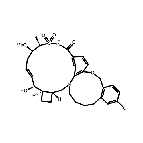 CO[C@@H]1C/C=C/[C@H](O)[C@@H]2CC[C@H]2CN2CCCCc3cc(Cl)ccc3COc3ccc(cc32)C(=O)NS(=O)(=O)[C@@H]1C